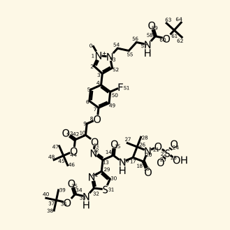 C[n+]1cc(-c2ccc(OCC(ON=C(C(=O)NC3C(=O)N(OS(=O)(=O)O)C3(C)C)c3csc(NC(=O)OC(C)(C)C)n3)C(=O)OC(C)(C)C)cc2F)cn1CCCNC(=O)OC(C)(C)C